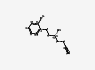 N#CCC[C@@H](F)CCc1ncccc1F